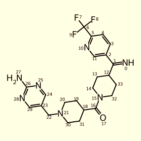 N=C(c1ccc(C(F)(F)F)nc1)C1CCN(C(=O)C2CCN(Cc3cnc(N)nc3)CC2)CC1